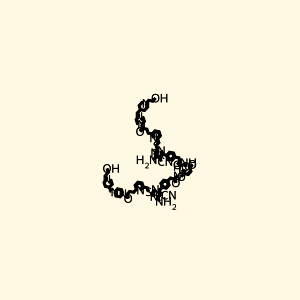 N#Cc1c(N)nc(SCc2cccc(CCC(=O)N3CCN(CC4CCN(CCO)CC4)CC3)n2)nc1-c1ccc(CC(=O)NOC(=O)/C=C\C(=O)ONC(=O)Cc2ccc(-c3nc(SCc4cccc(CCC(=O)N5CCN(CC6CCN(CCO)CC6)CC5)n4)nc(N)c3C#N)cc2)cc1